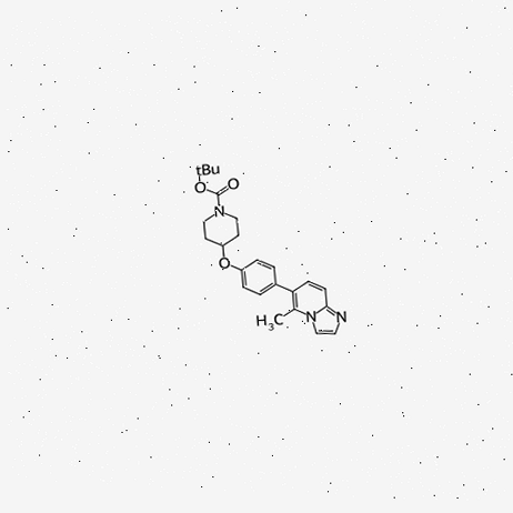 Cc1c(-c2ccc(OC3CCN(C(=O)OC(C)(C)C)CC3)cc2)ccc2nccn12